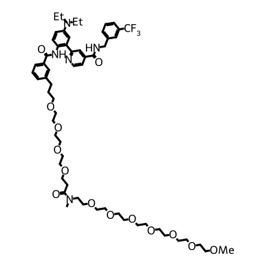 CCN(CC)c1ccc(NC(=O)c2cccc(CCCOCCOCCOCCOCCC(=O)N(C)CCOCCOCCOCCOCCOCCOCCOC)c2)c(-c2cc(C(=O)NCc3cccc(C(F)(F)F)c3)ccn2)c1